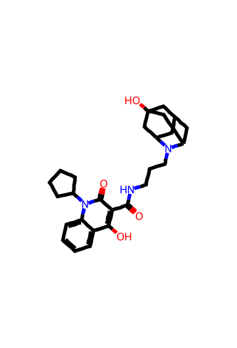 O=C(NCCCN1C2CC3CC1CC(O)(C3)C2)c1c(O)c2ccccc2n(C2CCCC2)c1=O